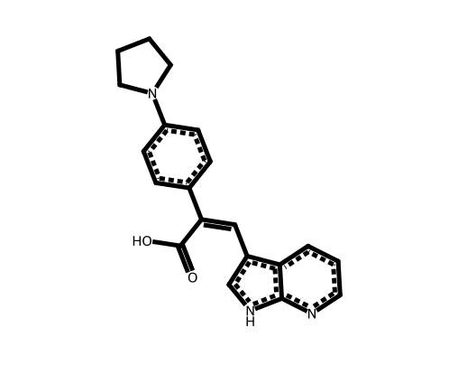 O=C(O)C(=Cc1c[nH]c2ncccc12)c1ccc(N2CCCC2)cc1